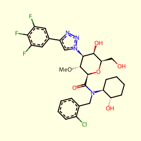 CO[C@@H]1[C@@H](n2cc(-c3cc(F)c(F)c(F)c3)nn2)[C@@H](O)[C@@H](CO)O[C@H]1C(=O)N(Cc1ccccc1Cl)[C@H]1CCCC[C@@H]1O